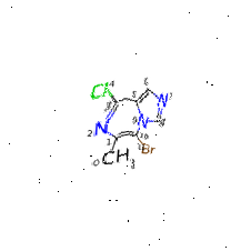 Cc1nc(Cl)c2cncn2c1Br